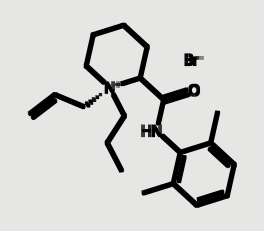 C=CC[N@+]1(CCC)CCCCC1C(=O)Nc1c(C)cccc1C.[Br-]